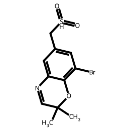 CC1(C)C=Nc2cc(C[SH](=O)=O)cc(Br)c2O1